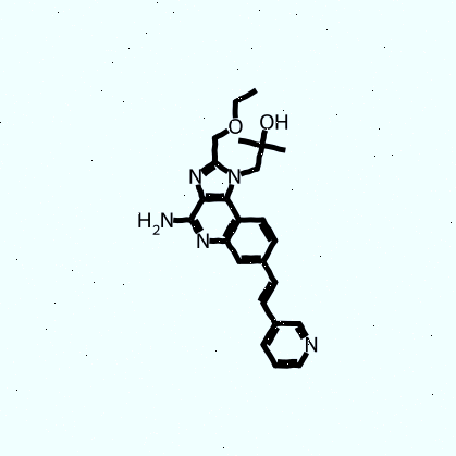 CCOCc1nc2c(N)nc3cc(C=Cc4cccnc4)ccc3c2n1CC(C)(C)O